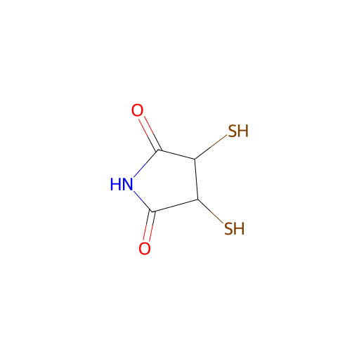 O=C1NC(=O)C(S)C1S